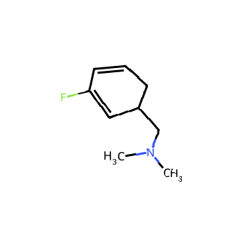 CN(C)CC1C=C(F)C=CC1